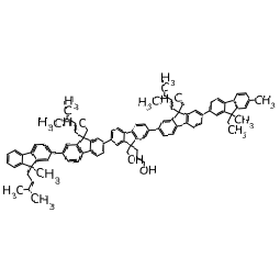 CCC1(C)c2cc(C)ccc2-c2ccc(-c3ccc4c(c3)C(CC)(CCC(C)C)c3cc(-c5ccc6c(c5)C(CO)(CCCO)c5cc(-c7ccc8c(c7)C(CC)(CCC(C)C)c7cc(-c9ccc%10c(c9)C(C)(CCC(C)C)c9ccccc9-%10)ccc7-8)ccc5-6)ccc3-4)cc21